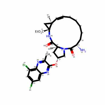 CCOC(=O)[C@@]12C[C@H]1/C=C\CCCCC[C@H](N)C(=O)N1C[C@H](Oc3nc4cc(F)cc(Br)c4nc3C)C[C@H]1C(=O)N2